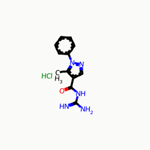 Cc1c(C(=O)NC(=N)N)cnn1-c1ccccc1.Cl